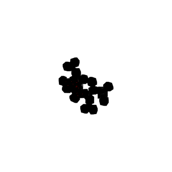 c1ccc(-c2nc(-c3ccccc3)nc(-c3cc(-c4cccc(-c5ccc(-n6c7ccc(-n8c9ccccc9c9ccccc98)cc7c7cc(-n8c9ccccc9c9ccccc98)ccc76)c(-c6nc(-c7ccccc7)nc(-c7ccccc7)n6)c5)c4)cc(-n4c5ccc(-n6c7ccccc7c7ccccc76)cc5c5cc(-n6c7ccccc7c7ccccc76)ccc54)c3)n2)cc1